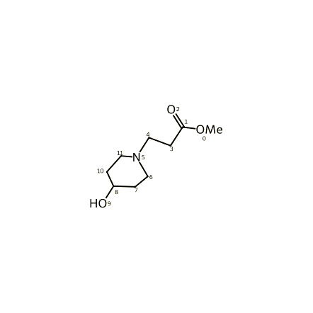 COC(=O)CCN1CCC(O)CC1